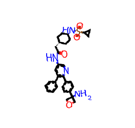 NC1(c2ccc(-c3ncc(NC(=O)C[C@H]4CC[C@H](NS(=O)(=O)C5CC5)CC4)cc3-c3ccccc3)cc2)COC1